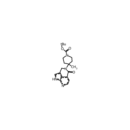 CC(C)(C)OC(=O)N1CCC(C)(N2Cc3c[nH]c4nccc(c34)C2=O)CC1